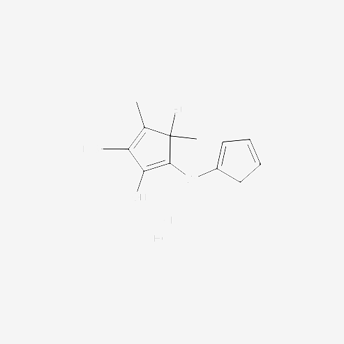 CCC1(C)C(C)=C([SiH3])C(O)=[C]1[Zr][C]1=CC=CC1.Cl.Cl